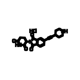 Cl.O=C1CCC(N2C(=O)c3ccc(C#CC4CCNCC4)cc3C2=O)C(=O)N1